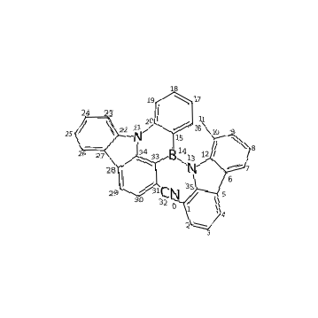 Cc1cccc2c3cccc(C)c3n(B3c4ccccc4-n4c5ccccc5c5ccc(C#N)c3c54)c12